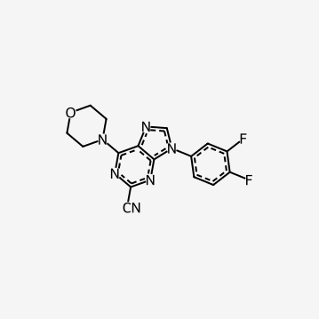 N#Cc1nc(N2CCOCC2)c2ncn(-c3ccc(F)c(F)c3)c2n1